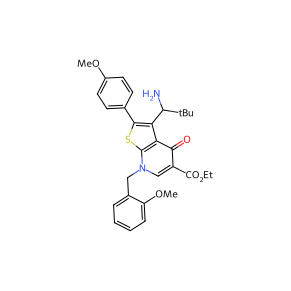 CCOC(=O)c1cn(Cc2ccccc2OC)c2sc(-c3ccc(OC)cc3)c(C(N)C(C)(C)C)c2c1=O